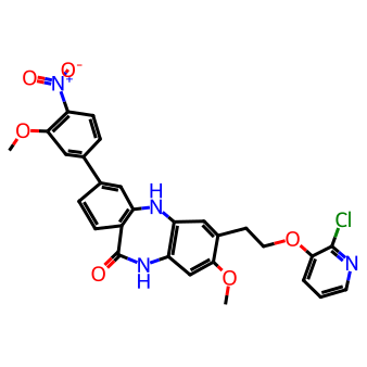 COc1cc2c(cc1CCOc1cccnc1Cl)Nc1cc(-c3ccc([N+](=O)[O-])c(OC)c3)ccc1C(=O)N2